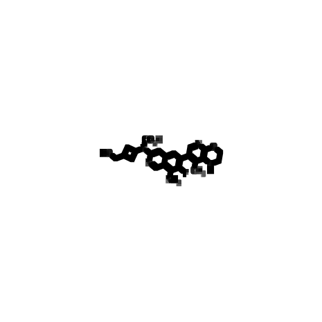 Cc1c(-c2cc3cc(N(C(=O)O)C4CC(CO)C4)ncc3c(N)c2F)cnc2c1NCCO2